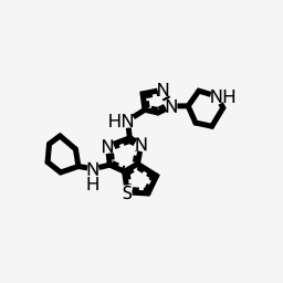 c1cc2nc(Nc3cnn(C4CCCNC4)c3)nc(NC3CCCCC3)c2s1